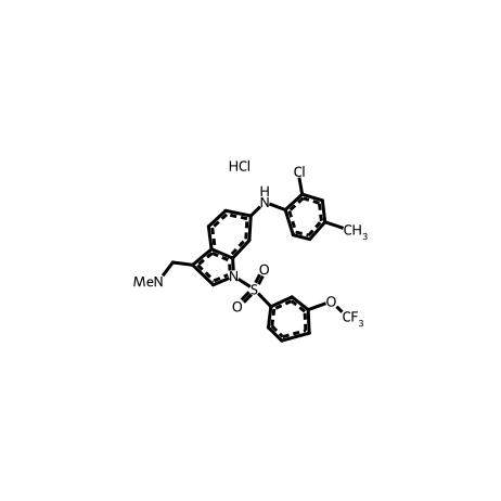 CNCc1cn(S(=O)(=O)c2cccc(OC(F)(F)F)c2)c2cc(Nc3ccc(C)cc3Cl)ccc12.Cl